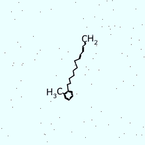 C=CC=CC=CCCCCCCCc1ccccc1C